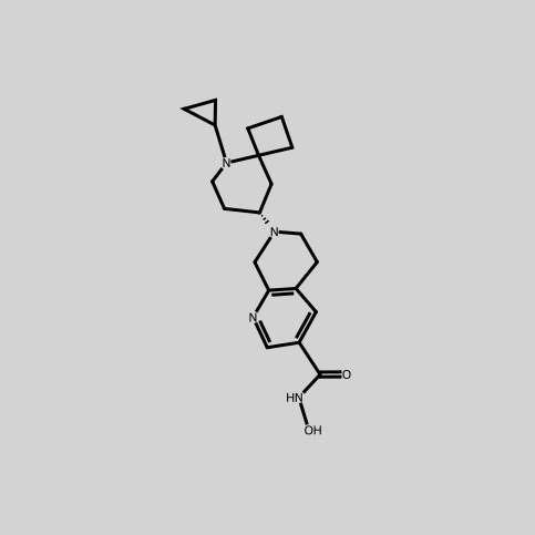 O=C(NO)c1cnc2c(c1)CCN([C@@H]1CCN(C3CC3)C3(CCC3)C1)C2